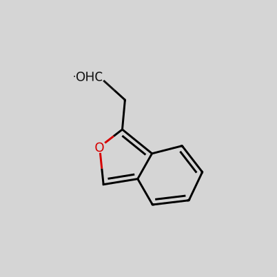 O=[C]Cc1occ2ccccc12